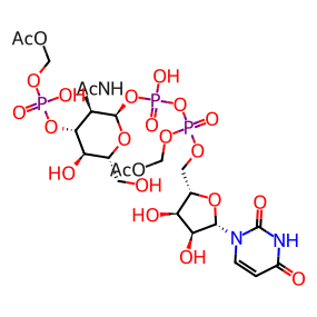 CC(=O)N[C@H]1[C@@H](OP(=O)(O)OP(=O)(OCOC(C)=O)OC[C@@H]2O[C@H](n3ccc(=O)[nH]c3=O)[C@@H](O)[C@H]2O)O[C@H](CO)[C@@H](O)[C@@H]1OP(=O)(O)OCOC(C)=O